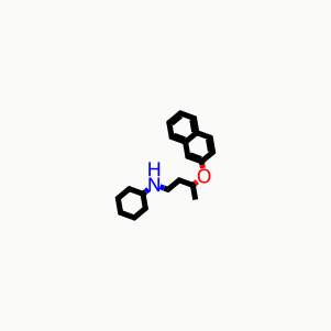 CC(CCNC1CCCCC1)Oc1ccc2ccccc2c1